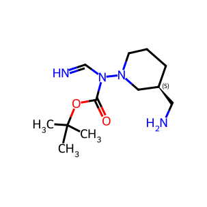 CC(C)(C)OC(=O)N(C=N)N1CCC[C@@H](CN)C1